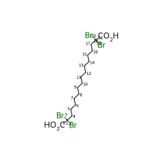 O=C(O)C(Br)(Br)CCCCCCCCCCCCCCC(Br)(Br)C(=O)O